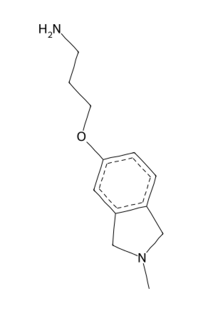 CN1Cc2ccc(OCCCN)cc2C1